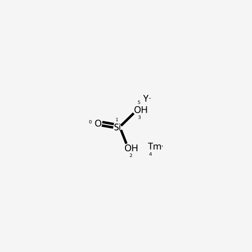 O=[Si](O)O.[Tm].[Y]